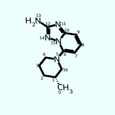 C[C@@H]1CCCN(c2cccc3nc(N)nn23)C1